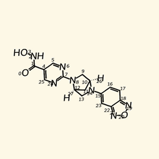 O=C(NO)c1cnc(N2C[C@@H]3C[C@H]2CN3c2ccc3nonc3c2)nc1